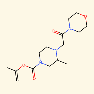 C=C(C)OC(=O)N1CCN(CC(=O)N2CCOCC2)C(C)C1